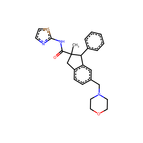 CC1(C(=O)Nc2nccs2)Cc2ccc(CN3CCOCC3)cc2C1c1ccccc1